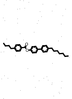 CCCCCCCc1ccc(-c2ccc(OC(=O)c3ccc(CCCC)cc3)cc2)cc1